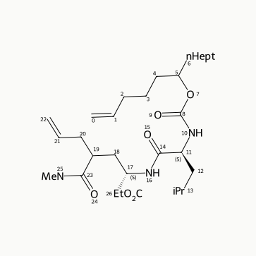 C=CCCCC(CCCCCCC)OC(=O)N[C@@H](CC(C)C)C(=O)N[C@@H](CC(CC=C)C(=O)NC)C(=O)OCC